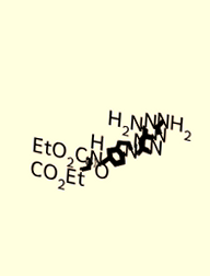 CCOC(=O)CC[C@H](NC(=O)c1ccc2c(c1)CCN2Cc1cnc2nc(N)nc(N)c2n1)C(=O)OCC